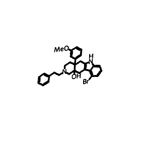 COc1cccc(C23CCN(CCc4ccccc4)CC2(O)Cc2c([nH]c4cccc(Br)c24)C3)c1